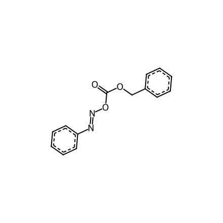 O=C(OCc1ccccc1)ON=Nc1ccccc1